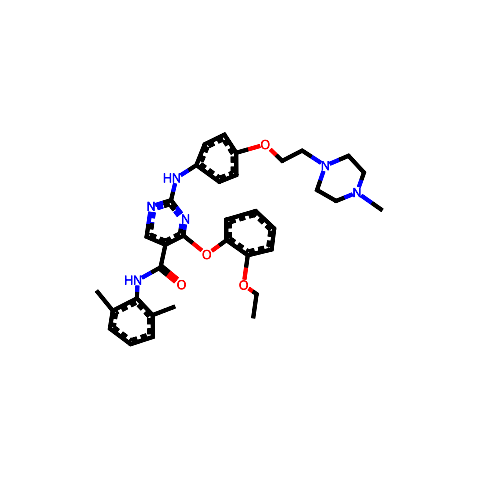 CCOc1ccccc1Oc1nc(Nc2ccc(OCCN3CCN(C)CC3)cc2)ncc1C(=O)Nc1c(C)cccc1C